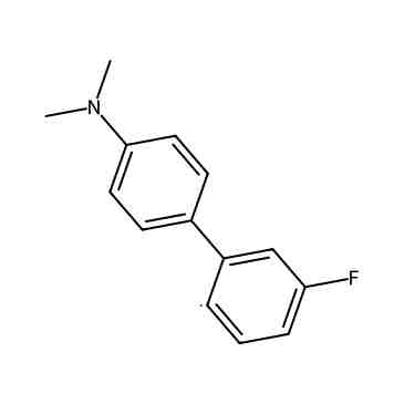 CN(C)c1ccc(-c2[c]ccc(F)c2)cc1